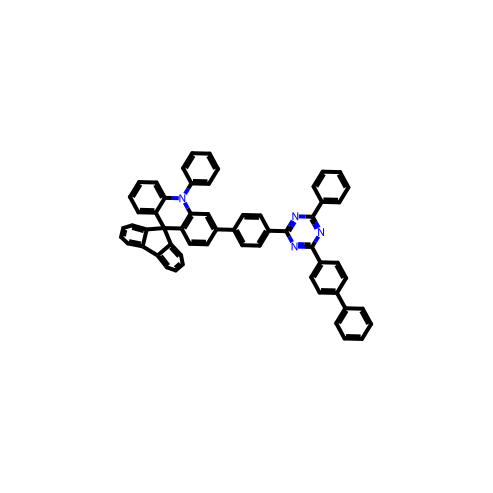 c1ccc(-c2ccc(-c3nc(-c4ccccc4)nc(-c4ccc(-c5ccc6c(c5)N(c5ccccc5)c5ccccc5C65c6ccccc6-c6ccccc65)cc4)n3)cc2)cc1